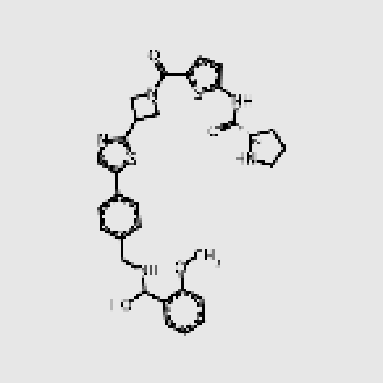 COc1ccccc1C(O)NCc1ccc(-c2cnc(C3CN(C(=O)c4ccc(NC(=O)[C@@H]5CCCN5)s4)C3)s2)cc1